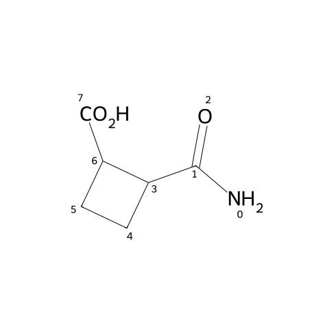 NC(=O)C1CCC1C(=O)O